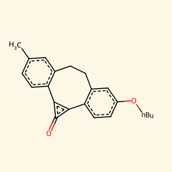 CCCCOc1ccc2c(c1)CCc1cc(C)ccc1-c1c-2c1=O